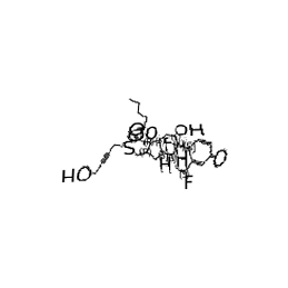 CCCCC(=O)O[C@]1(C(=O)SCC#CCO)[C@H](C)C[C@H]2[C@@H]3C[C@H](F)C4=CC(=O)C=C[C@]4(C)[C@@]3(F)[C@@H](O)C[C@@]21C